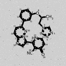 CC(Cn1cnnn1)Oc1cccc(-c2ccc3ncc(-c4[nH]ccc(=O)c4C#N)n3n2)c1